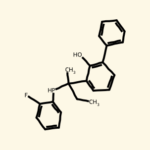 CCC(C)(Pc1ccccc1F)c1cccc(-c2ccccc2)c1O